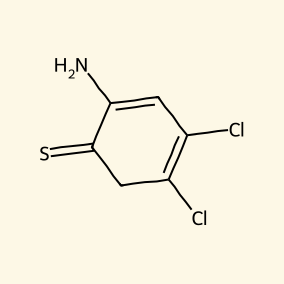 NC1=CC(Cl)=C(Cl)CC1=S